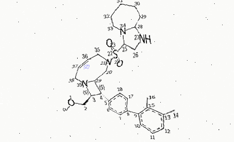 COC[C@@H]1[C@@H](c2ccc(-c3cccc(C)c3C)cc2)C2CN(S(=O)(=O)C3CNC4CCCCCN43)C/C=C\CN21